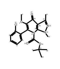 COc1c(-c2ccccc2Cl)n(C(=O)OC(C)(C)C)c2c(c(C)nn2C)c1=O